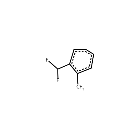 FC(F)c1ccc[c]c1C(F)(F)F